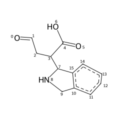 O=CCC(C(=O)O)C1NCc2ccccc21